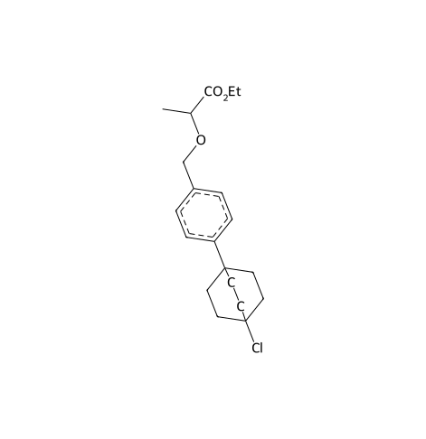 CCOC(=O)C(C)OCc1ccc(C23CCC(Cl)(CC2)CC3)cc1